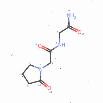 NC(=O)CNC(=O)CN1CCCC1=O